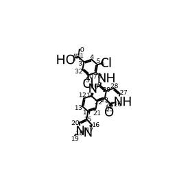 C[C@H](O)c1cc(Cl)c(Nc2nc3ccc(-c4cnn(C)c4)cc3c3c(=O)[nH]ccc23)c(Cl)c1